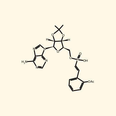 CC(=O)Oc1ccccc1C=CP(=O)(O)OC[C@H]1O[C@@H](n2cnc3c(N)ncnc32)[C@@H]2OC(C)(C)O[C@@H]21